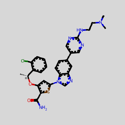 C[C@@H](Oc1cc(-n2cnc3cc(-c4cnc(NCCN(C)C)nc4)ccc32)sc1C(N)=O)c1ccccc1Cl